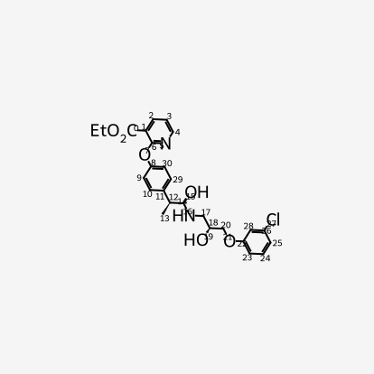 CCOC(=O)c1cccnc1Oc1ccc([C@H](C)C(O)NC[C@H](O)COc2cccc(Cl)c2)cc1